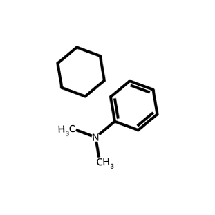 C1CCCCC1.CN(C)c1ccccc1